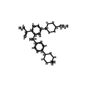 NC(=O)c1ncc(N2CCC(C(=O)O)CC2)nc1Nc1ccc(C2CCNCC2)cc1